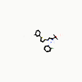 CC(C)(O)c1cc(-c2ccc(-c3cccc(C(=O)O)c3)s2)n(-c2ccccc2Cl)n1